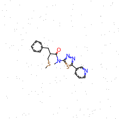 CSCC(Cc1ccccc1)C(=O)N(C)c1nnc(-c2cccnc2)s1